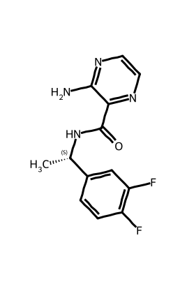 C[C@H](NC(=O)c1nccnc1N)c1ccc(F)c(F)c1